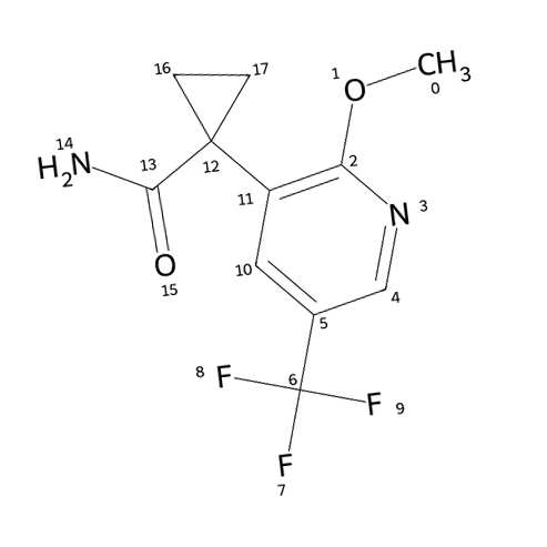 COc1ncc(C(F)(F)F)cc1C1(C(N)=O)CC1